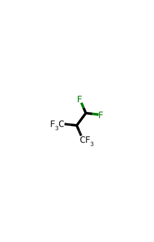 F[C](F)C(C(F)(F)F)C(F)(F)F